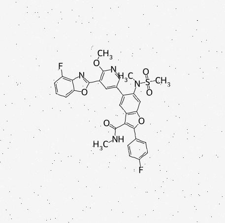 CNC(=O)c1c(-c2ccc(F)cc2)oc2cc(N(C)S(C)(=O)=O)c(-c3cnc(OC)c(-c4nc5c(F)cccc5o4)c3)cc12